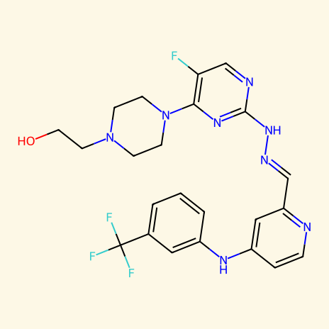 OCCN1CCN(c2nc(N/N=C/c3cc(Nc4cccc(C(F)(F)F)c4)ccn3)ncc2F)CC1